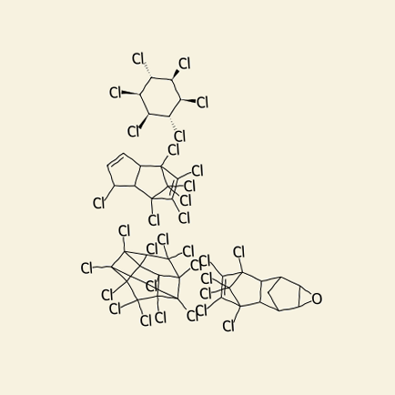 ClC1(Cl)C2(Cl)C3(Cl)C4(Cl)C(Cl)(Cl)C5(Cl)C3(Cl)C1(Cl)C5(Cl)C24Cl.ClC1=C(Cl)C2(Cl)C3C(Cl)C=CC3C1(Cl)C2(Cl)Cl.ClC1=C(Cl)C2(Cl)C3C4CC(C5OC45)C3C1(Cl)C2(Cl)Cl.Cl[C@H]1[C@H](Cl)[C@@H](Cl)[C@@H](Cl)[C@H](Cl)[C@H]1Cl